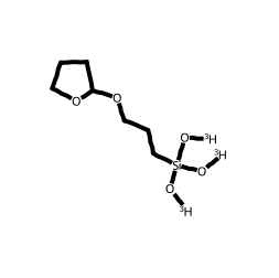 [3H]O[Si](CCCOC1CCCO1)(O[3H])O[3H]